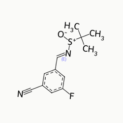 CC(C)(C)[S+]([O-])/N=C/c1cc(F)cc(C#N)c1